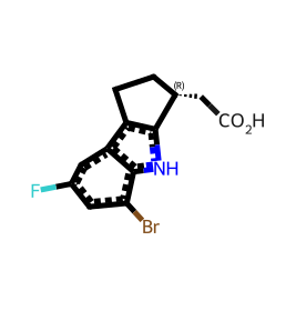 O=C(O)C[C@H]1CCc2c1[nH]c1c(Br)cc(F)cc21